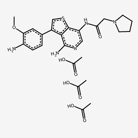 CC(=O)O.CC(=O)O.CC(=O)O.COc1cc(-c2csc3c(NC(=O)CN4CCCC4)cnc(N)c23)ccc1N